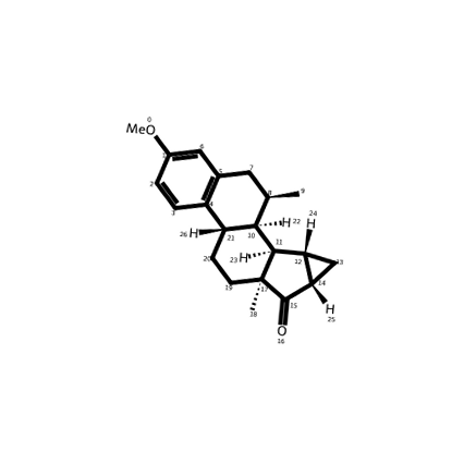 COc1ccc2c(c1)C[C@@H](C)[C@H]1[C@H]3[C@@H]4C[C@@H]4C(=O)[C@@]3(C)CC[C@H]21